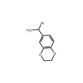 CC(=O)C(C)c1ccc2c(c1)OCCO2